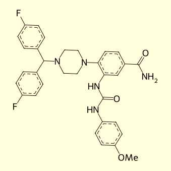 COc1ccc(NC(=O)Nc2cc(C(N)=O)ccc2N2CCN(C(c3ccc(F)cc3)c3ccc(F)cc3)CC2)cc1